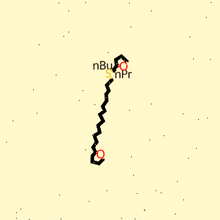 CCCCC(CCC)(SCCCCCCCCCCCCCCC1CCCCO1)C1CCCO1